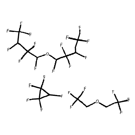 FC(F)(F)COCC(F)(F)F.FC(OC(F)C(F)(F)C(F)C(F)(F)F)C(F)(F)C(F)C(F)(F)F.FC1C(F)(F)C1(F)F